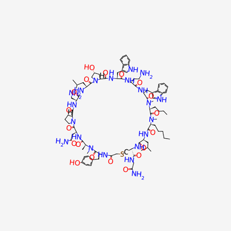 CCCCC[C@H]1C(=O)N[C@@H](CC(C)C)C(=O)N[C@H](C(=O)NCC(N)=O)CSCC(=O)N[C@@H](Cc2ccc(O)cc2)C(=O)N(C)[C@@H](C)C(=O)N[C@@H](CC(N)=O)C(=O)N2CCC[C@H]2C(=O)N[C@@H](CN)C(=O)N[C@@H](CC(C)C)C(=O)N2C[C@H](O)C[C@H]2C(=O)N[C@@H](Cc2c[nH]c3ccccc23)C(=O)N[C@@H](CCN)C(=O)N[C@@H](Cc2c[nH]c3ccccc23)C(=O)N(C)[C@@H](CCCC)C(=O)N1C